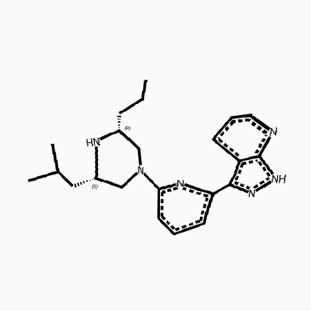 CCC[C@@H]1CN(c2cccc(-c3n[nH]c4ncccc34)n2)C[C@H](CC(C)C)N1